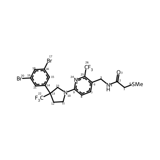 CSCC(=O)NCc1ccc(N2CCC(c3cc(Br)cc(Br)c3)(C(F)(F)F)C2)nc1C(F)(F)F